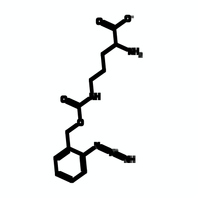 N=[N+]=Nc1ccccc1COC(=O)NCCCC(N)C(=O)[O-]